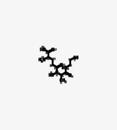 CC(C(=O)NCCS)N(S)C(=O)CCC(N)C(=O)O